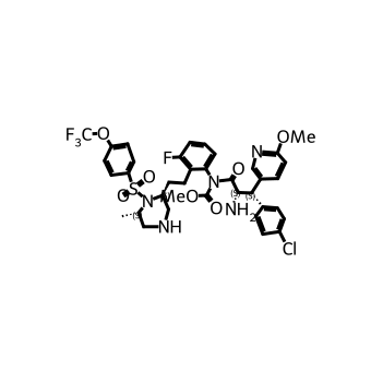 COC(=O)N(C(=O)[C@@H](N)[C@@H](c1ccc(Cl)cc1)c1ccc(OC)nc1)c1cccc(F)c1CC[C@H]1CNC[C@H](C)N1S(=O)(=O)c1ccc(OC(F)(F)F)cc1